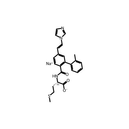 CSCC[C@H](NC(=O)c1ccc(C=Cn2ccnc2)cc1-c1ccccc1C)C(=O)[O-].[Na+]